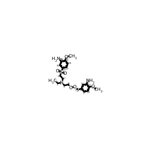 CCN(CCOOSc1ccc(OC)c(N)c1)CCS(=O)(=O)c1ccc(OC)c(N)c1